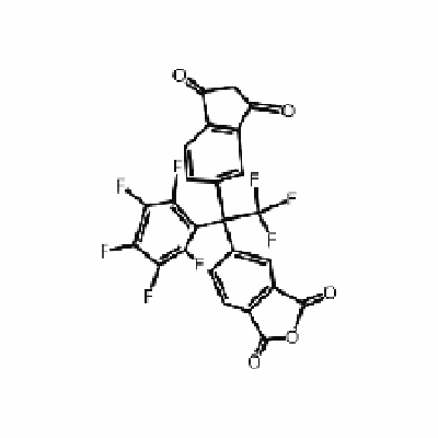 O=C1CC(=O)c2cc(C(c3ccc4c(c3)C(=O)OC4=O)(c3c(F)c(F)c(F)c(F)c3F)C(F)(F)F)ccc21